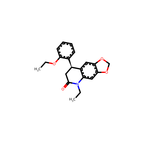 CCOc1ccccc1[C@@H]1CC(=O)N(CC)c2cc3c(cc21)OCO3